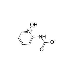 O=C([O-])Nc1cccc[n+]1O